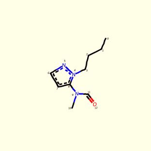 CCCCn1nccc1N(C)C=O